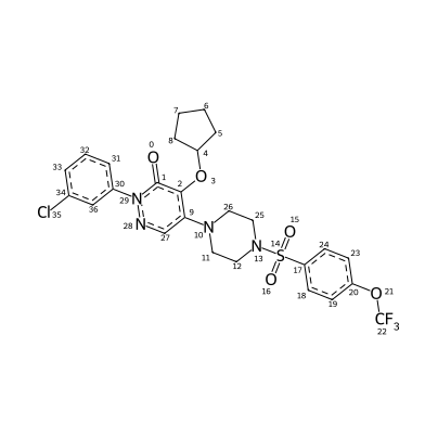 O=c1c(OC2CCCC2)c(N2CCN(S(=O)(=O)c3ccc(OC(F)(F)F)cc3)CC2)cnn1-c1cccc(Cl)c1